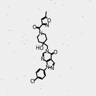 Cc1cc(C(=O)N2CCC(O)(Cn3cnc4c(cnn4-c4ccc(Cl)cc4)c3=O)CC2)no1